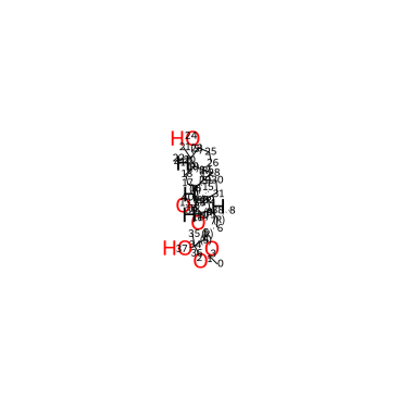 CC(=O)O[C@@H]([C@H]1C[C@@H](C)[C@H]2[C@H](O1)C(=O)[C@@]1(C)[C@@H]3CC[C@H]4C(C)(C)[C@@H](O)CC[C@@]45C[C@@]35CC[C@]21C)C(C)(C)O